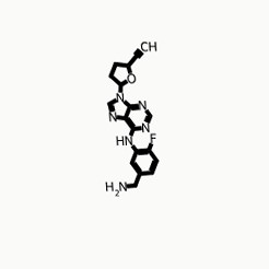 C#CC1CCC(n2cnc3c(Nc4cc(CN)ccc4F)ncnc32)O1